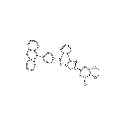 COc1cc([C@H]2COC(c3ccccc3[S+]([O-])c3ccc(-c4c5ccccc5cc5ccccc45)cc3)=N2)cc(OC)c1OC